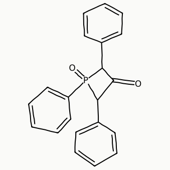 O=C1C(c2ccccc2)P(=O)(c2ccccc2)C1c1ccccc1